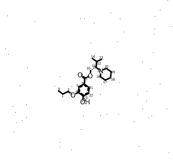 CCCOc1cc(C(=O)OC[C@H](C(C)C)N2CCCCC2)ccc1O